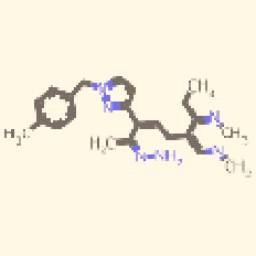 C=N/C=C(C/C=C(\C(C)=N/N)c1ccn(Cc2ccc(C)cc2)n1)\C(CC)=N/C